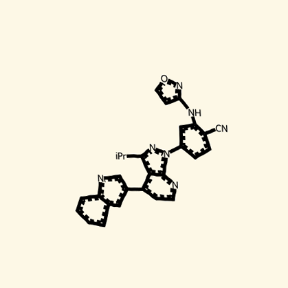 CC(C)c1nn(-c2ccc(C#N)c(Nc3ccon3)c2)c2nccc(-c3cnc4ccccc4c3)c12